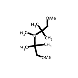 COCC(C)(C)N(C)C(C)(C)COC